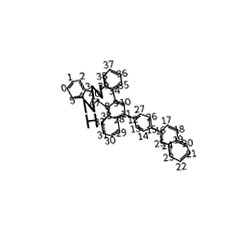 c1ccc2c(c1)NC1c3c(cc(-c4ccc(-c5ccc6ccccc6c5)cc4)c4ccccc34)-c3ccccc3N21